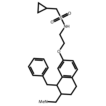 CNCC1CCc2ccc(OCCNS(=O)(=O)CC3CC3)cc2C1Cc1ccccc1